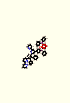 C[Si]1(C)C(c2cccc(-c3ccccn3)n2)=C(c2ccccc2)C(c2ccccc2)=C1c1cc(-c2ccc(P(c3ccccc3)c3ccccc3)c(Oc3ccccc3P(c3ccccc3)c3ccccc3)c2)cc(-c2ccccn2)n1